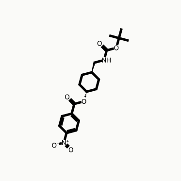 CC(C)(C)OC(=O)NC[C@H]1CC[C@H](OC(=O)c2ccc([N+](=O)[O-])cc2)CC1